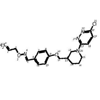 C=CCON=Cc1ccc(OCC2CCCN(c3ccc(Cl)nn3)C2)cc1